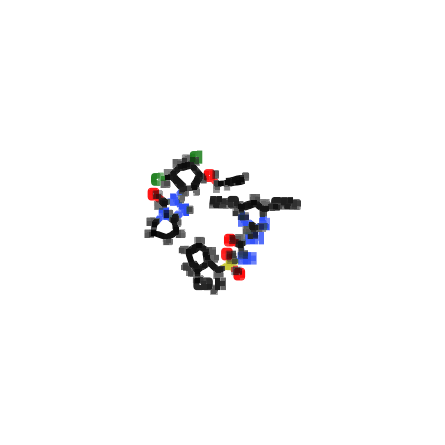 C#CCOc1cc(-n2nc3n(c2=O)CCCC3)c(Cl)cc1Cl.COc1cc(OC)nc(NC(=O)NS(=O)(=O)Cc2ccccc2C(=O)O)n1